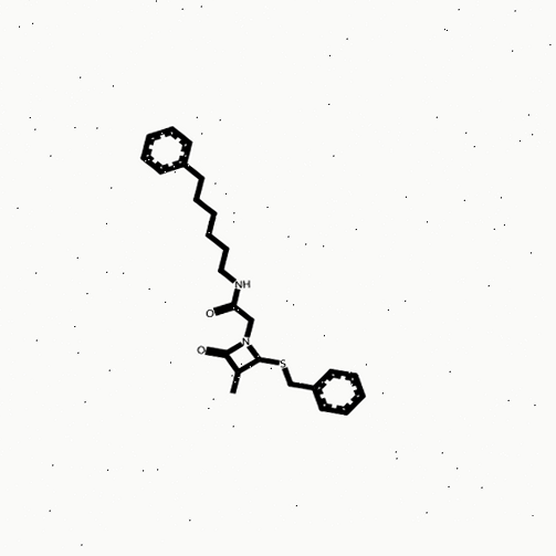 CC1C(=O)N(CC(=O)NCCCCCCc2ccccc2)C1SCc1ccccc1